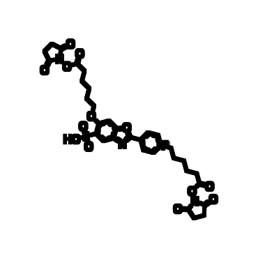 O=C(CCCCCOc1cc2oc(-c3cc[n+](CCCCCC(=O)ON4C(=O)CCC4=O)cc3)nc2cc1S(=O)(=O)O)ON1C(=O)CCC1=O